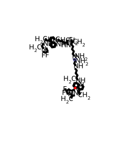 C=C(CCC(=C)NC(CCCCN(N)/C=C(\N)CNCCCCC(=C)Nc1cccc2c(C(=C)NCC(=C)N3CC(F)(F)CC3C#N)ccnc12)C(=C)C)Nc1cccc2c(C(=C)NCC(=C)N3CCC(F)(F)C3)ccnc12